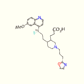 COc1ccc2nccc([C@@H](F)CCC3CCN(CCCc4ncco4)CC3CCC(=O)O)c2c1